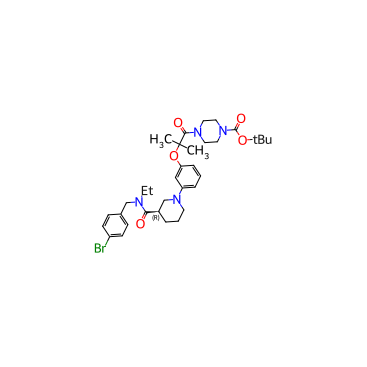 CCN(Cc1ccc(Br)cc1)C(=O)[C@@H]1CCCN(c2cccc(OC(C)(C)C(=O)N3CCN(C(=O)OC(C)(C)C)CC3)c2)C1